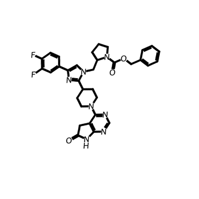 O=C1Cc2c(ncnc2N2CCC(c3nc(-c4ccc(F)c(F)c4)cn3CC3CCCN3C(=O)OCc3ccccc3)CC2)N1